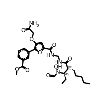 CCCCC[C@@H](C(=O)NCNC(=O)c1cc(OCC(N)=O)c(-c2cccc(C(=O)OC)c2)o1)[C@@H](CC)N(O)C=O